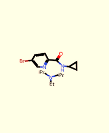 CCN(C(C)C)C(C)C.O=C(NC1CC1)c1ccc(Br)cn1